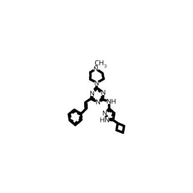 CN1CCN(c2nc(/C=C/c3ccccc3)nc(Nc3cc(C4CCC4)[nH]n3)n2)CC1